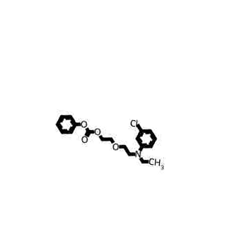 CCN(CCOCCOC(=O)Oc1ccccc1)c1cccc(Cl)c1